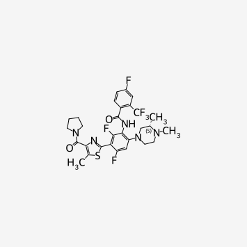 Cc1sc(-c2c(F)cc(N3CCN(C)[C@@H](C)C3)c(NC(=O)c3ccc(F)cc3C(F)(F)F)c2F)nc1C(=O)N1CCCC1